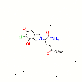 COC(=O)CCC(C(N)=O)N1C=C2CC(=O)C(Cl)C(O)=C2C1